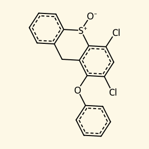 [O-][S+]1c2ccccc2Cc2c(Oc3ccccc3)c(Cl)cc(Cl)c21